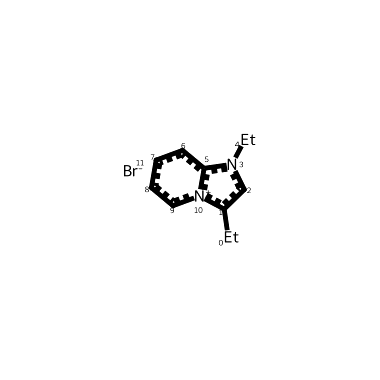 CCc1cn(CC)c2cccc[n+]12.[Br-]